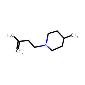 C=C(C)CCN1CCC(C)CC1